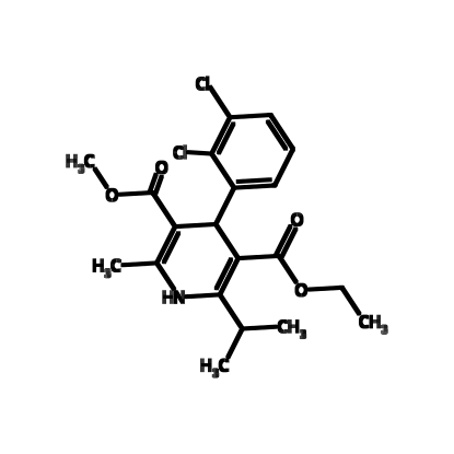 CCOC(=O)C1=C(C(C)C)NC(C)=C(C(=O)OC)C1c1cccc(Cl)c1Cl